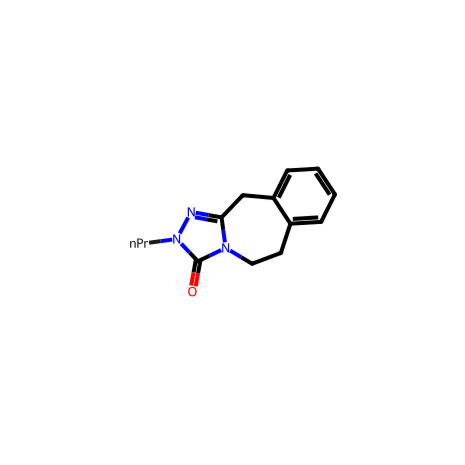 CCCn1nc2n(c1=O)CCc1ccccc1C2